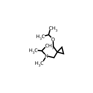 CC(C)OCC1(CN(C)C(C)C)CC1